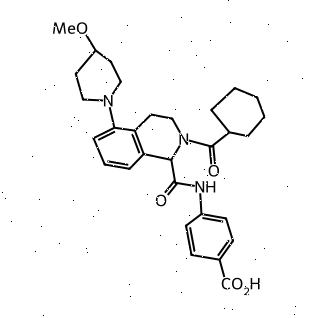 COC1CCN(c2cccc3c2CCN(C(=O)C2CCCCC2)C3C(=O)Nc2ccc(C(=O)O)cc2)CC1